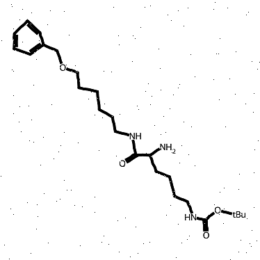 CC(C)(C)OC(=O)NCCCCC(N)C(=O)NCCCCCCOCc1ccccc1